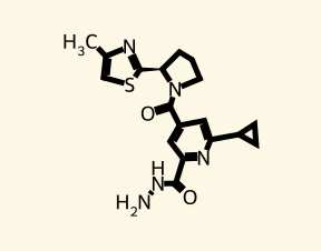 Cc1csc([C@H]2CCCN2C(=O)c2cc(C(=O)NN)nc(C3CC3)c2)n1